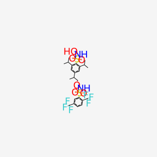 CC(C)c1cc(C(C)CONS(=O)(=O)c2cc(C(F)(F)F)ccc2C(F)(F)F)cc(C(C)C)c1S(=O)(=O)NO